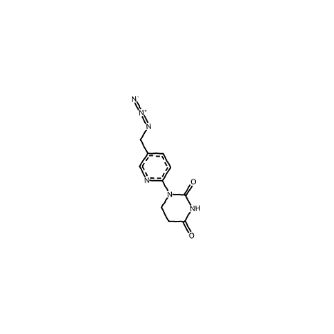 [N-]=[N+]=NCc1ccc(N2CCC(=O)NC2=O)nc1